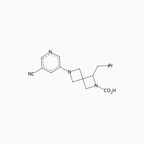 CC(C)CC1N(C(=O)O)CC12CN(c1cncc(C#N)c1)C2